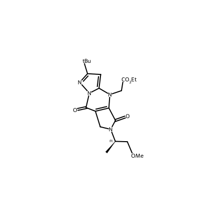 CCOC(=O)Cn1c2c(c(=O)n3nc(C(C)(C)C)cc13)CN([C@H](C)COC)C2=O